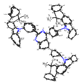 CC1(C)c2ccccc2-c2ccc3c4ccccc4n(-c4ccc(-c5ccc6nc(-c7cccc(-n8c9ccccc9c9ccc%10c(c98)C(C)(C)c8ccccc8-%10)c7)nc(-c7ccc(-n8c9ccccc9c9ccc%10c(c98)C(C)(C)c8ccccc8-%10)cc7)c6c5)cc4)c3c21